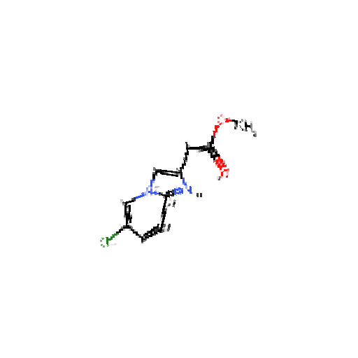 COC(=O)Cc1cn2cc(Cl)ccc2n1